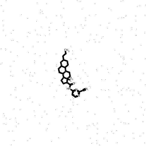 CCCC1CCC2C(CCC3C2CCC2(C)C(C(=O)Nc4ccnc(C#N)n4)CCC32)C1